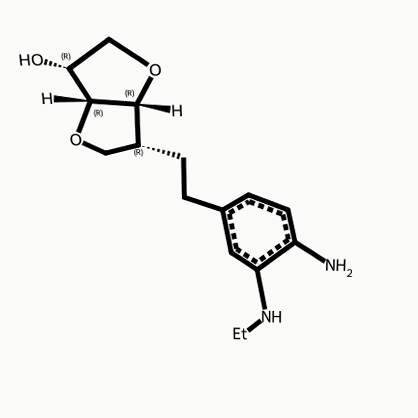 CCNc1cc(CC[C@@H]2CO[C@H]3[C@@H]2OC[C@H]3O)ccc1N